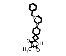 CN1C(=O)NC2(CC3(CCC(N4CC=CN(Cc5ccccc5)C4)CC3)C2)C1=O